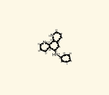 c1ccc(Nc2cc3cccnc3c3ncccc23)cc1